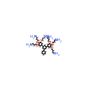 NCCCOc1cc(-c2cc(-c3ccccc3)cc(-c3cc(OCCCN)c(OCCCN)c(OCCCN)c3)c2)cc(OCCCN)c1OCCCN